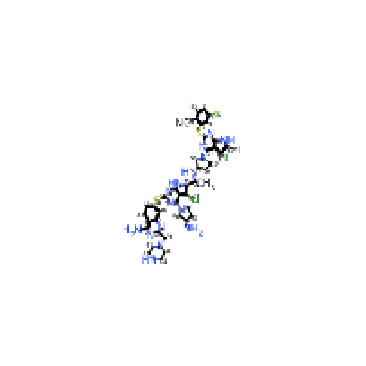 CCc1[nH]c2nc(Sc3cc(F)cc(F)c3C#N)nc(N3CC[C@H](NC(C)c4[nH]c5nc(Sc6ccc7c(N)nc(CN8CCNCC8)nc7c6)nc(N6CC[C@H](N)C6)c5c4Cl)C3)c2c1Cl